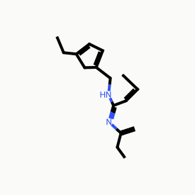 C=C(CC)/N=C(\C=C/C)NCC1=CC=C(CC)C1